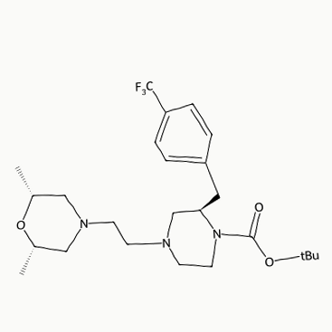 C[C@@H]1CN(CCN2CCN(C(=O)OC(C)(C)C)[C@H](Cc3ccc(C(F)(F)F)cc3)C2)C[C@H](C)O1